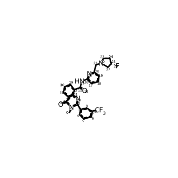 Cn1c(-c2cccc(C(F)(F)F)c2)nc2c(C(=O)Nc3cccc(CN4CC[C@H](F)C4)n3)cccc2c1=O